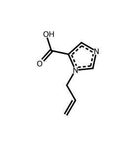 C=CCn1cncc1C(=O)O